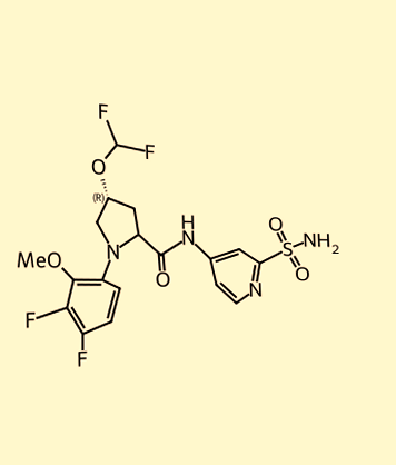 COc1c(N2C[C@H](OC(F)F)CC2C(=O)Nc2ccnc(S(N)(=O)=O)c2)ccc(F)c1F